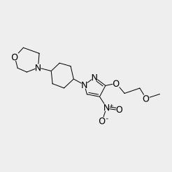 COCCOc1nn(C2CCC(N3CCOCC3)CC2)cc1[N+](=O)[O-]